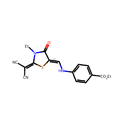 CCOC(=O)c1ccc(N/C=c2\sc(=C(C#N)C#N)n(CC)c2=O)cc1